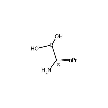 CCC[C@H](N)B(O)O